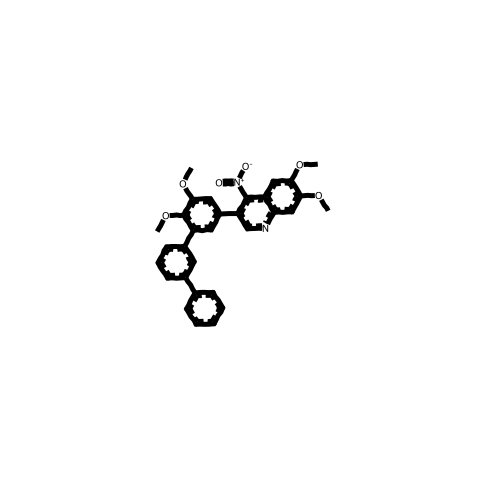 COc1cc2ncc(-c3cc(OC)c(OC)c(-c4cccc(-c5ccccc5)c4)c3)c([N+](=O)[O-])c2cc1OC